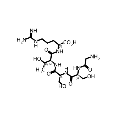 C[C@@H](O)[C@H](NC(=O)[C@H](CO)NC(=O)[C@H](CO)NC(=O)CN)C(=O)N[C@@H](CCCNC(=N)N)C(=O)O